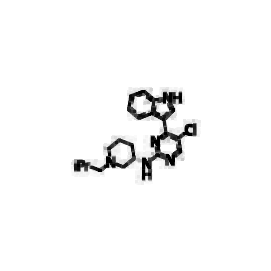 CC(C)CN1CCC[C@H](Nc2ncc(Cl)c(-c3c[nH]c4ccccc34)n2)C1